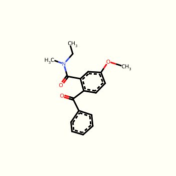 CCN(C)C(=O)c1cc(OC)ccc1C(=O)c1ccccc1